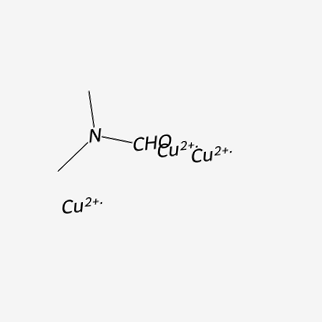 CN(C)C=O.[Cu+2].[Cu+2].[Cu+2]